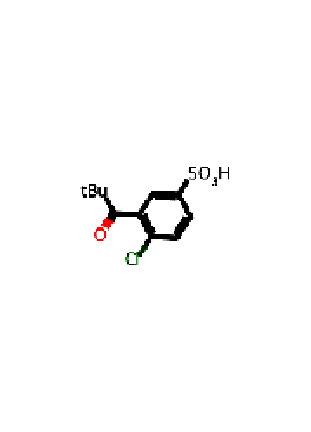 CC(C)(C)C(=O)c1cc(S(=O)(=O)O)ccc1Cl